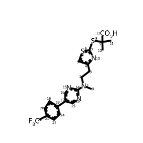 CN(CCc1csc(SC(C)(C)C(=O)O)n1)c1ncc(-c2ccc(C(F)(F)F)cc2)cn1